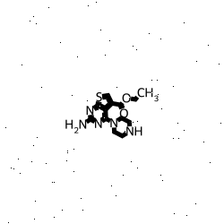 CCOC(=O)c1csc2nc(N)nc(N3CCNCC3)c12